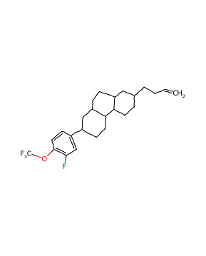 C=CCCC1CCC2C(CCC3CC(c4ccc(OC(F)(F)F)c(F)c4)CCC32)C1